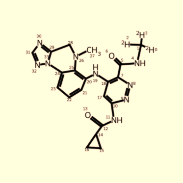 [2H]C([2H])([2H])NC(=O)c1nnc(NC(=O)C2CC2)cc1Nc1cccc2c1N(C)Cc1ncnn1-2